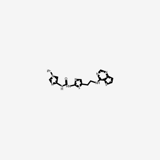 CC(C)n1cnc(NC(=O)Nc2ncc(CCNc3ncnc4ccsc34)s2)c1